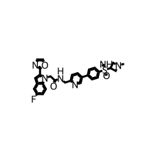 CN1CC(S(=N)(=O)c2ccc(-c3ccc(CNC(=O)Cn4c(-c5ncco5)cc5cc(F)ccc54)nc3)cc2)C1